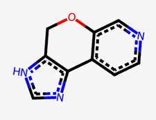 c1cc2c(cn1)OCc1[nH]cnc1-2